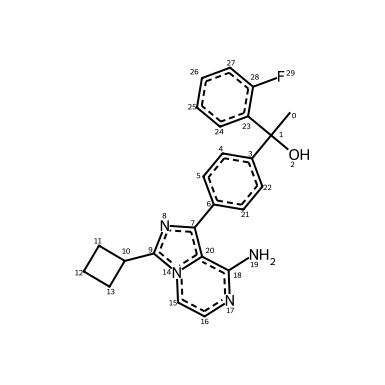 CC(O)(c1ccc(-c2nc(C3CCC3)n3ccnc(N)c23)cc1)c1ccccc1F